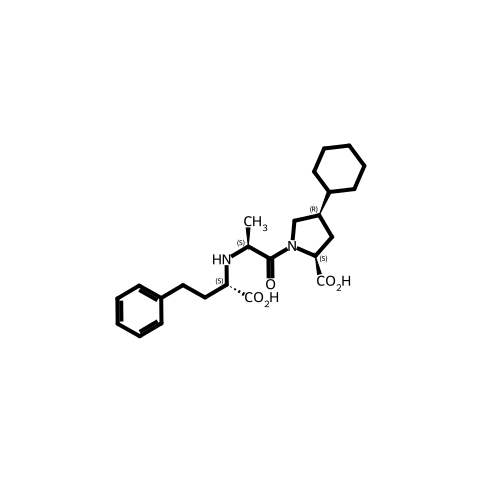 C[C@H](N[C@@H](CCc1ccccc1)C(=O)O)C(=O)N1C[C@@H](C2CCCCC2)C[C@H]1C(=O)O